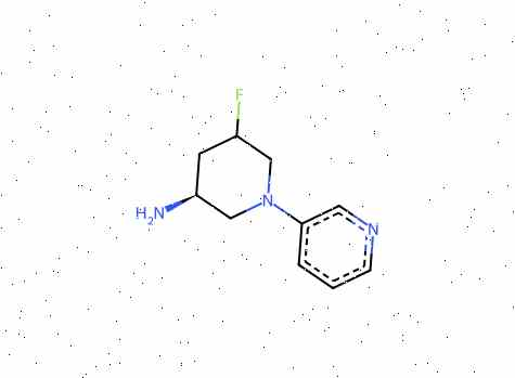 N[C@H]1CC(F)CN(c2cccnc2)C1